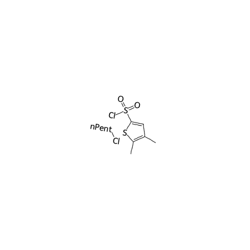 CCCCCCl.Cc1cc(S(=O)(=O)Cl)sc1C